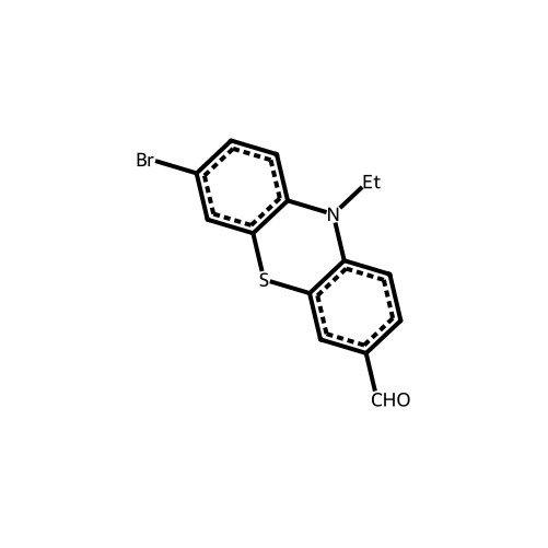 CCN1c2ccc(Br)cc2Sc2cc(C=O)ccc21